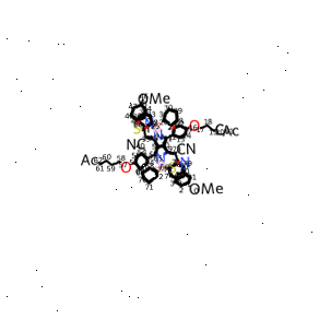 COc1ccc2sc(/C(C#N)=c3/c4c(-c5ccc(OCCCCC(C)=O)cc5)n(B(c5ccccc5)c5ccccc5)/c(=C(/C#N)c5nc6cc(OC)ccc6s5)c4c(-c4ccc(OCCCCC(C)=O)cc4)n3B(c3ccccc3)c3ccccc3)nc2c1